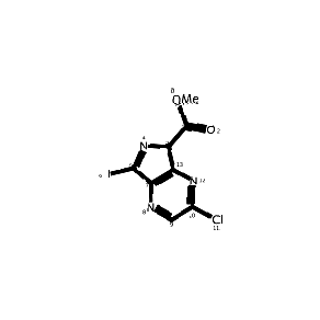 COC(=O)C1N=C(I)c2ncc(Cl)nc21